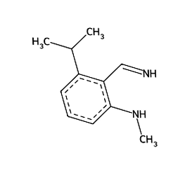 CNc1cccc(C(C)C)c1C=N